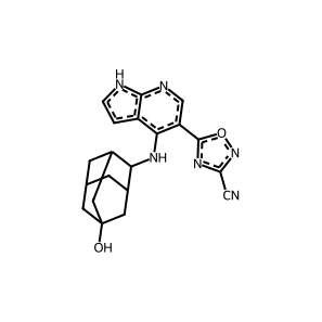 N#Cc1noc(-c2cnc3[nH]ccc3c2NC2C3CC4CC2CC(O)(C4)C3)n1